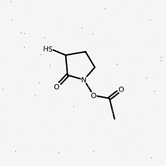 CC(=O)ON1CCC(S)C1=O